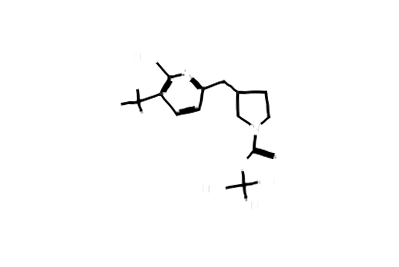 Cc1nc(CC2CCN(C(=O)OC(C)(C)C)C2)ccc1C(F)(F)F